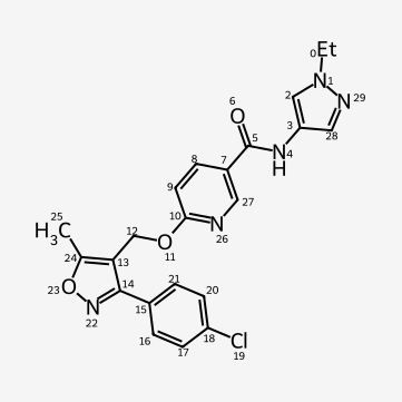 CCn1cc(NC(=O)c2ccc(OCc3c(-c4ccc(Cl)cc4)noc3C)nc2)cn1